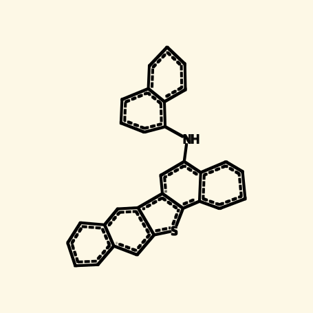 c1ccc2cc3c(cc2c1)sc1c2ccccc2c(Nc2cccc4ccccc24)cc31